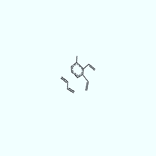 C=CC=C.C=Cc1cccc(C)c1C=C